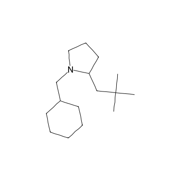 CC(C)(C)CC1CCCN1CC1CCCCC1